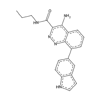 CCCNC(=O)c1nnc2c(-c3ccc4[nH]ccc4c3)cccc2c1N